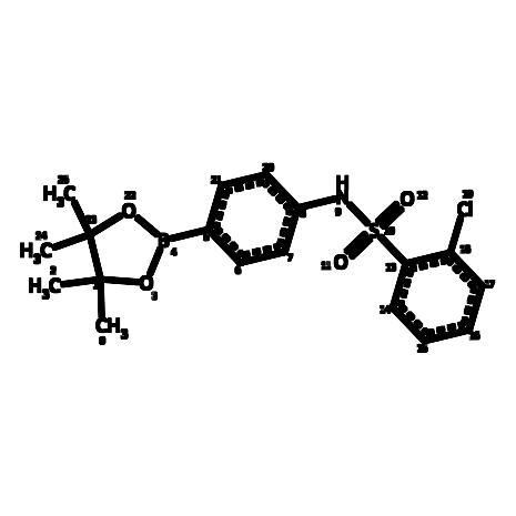 CC1(C)OB(c2ccc(NS(=O)(=O)c3ccccc3Cl)cc2)OC1(C)C